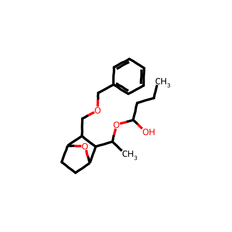 CCCC(O)OC(C)C1C2CCC(O2)C1COCc1ccccc1